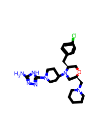 Nc1nnc(N2CCC(N3C[C@H](CN4CCCCC4)OC[C@@H]3Cc3ccc(Cl)cc3)CC2)[nH]1